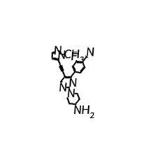 Cn1nccc1C#Cc1cnc(N2CCC(N)CC2)nc1-c1ccc(C#N)c(F)c1